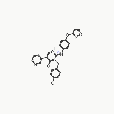 O=c1c(-c2cccnc2)c[nH]/c(=N\c2ccc(Oc3ccon3)cc2)n1Cc1ccc(Cl)cc1